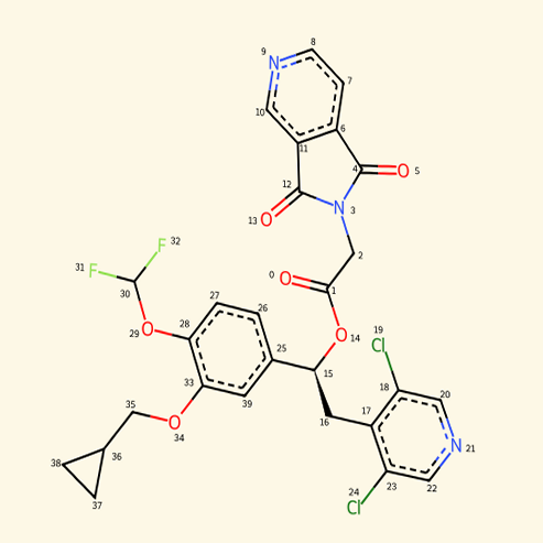 O=C(CN1C(=O)c2ccncc2C1=O)O[C@@H](Cc1c(Cl)cncc1Cl)c1ccc(OC(F)F)c(OCC2CC2)c1